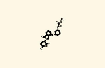 CC(C)(C)OC(=O)NC[C@@H]1CCC[C@H](Nc2cccc3c2CN(C2CCC(=O)NC2=O)C3=O)C1